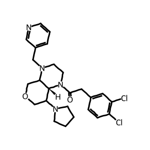 O=C(Cc1ccc(Cl)c(Cl)c1)N1CCN(Cc2cccnc2)C2COCC(N3CCCC3)[C@H]21